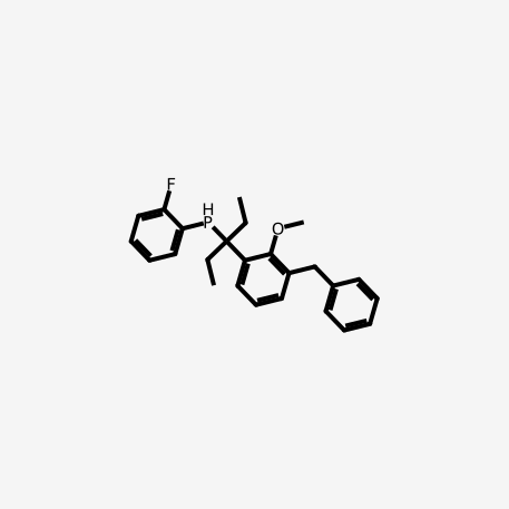 CCC(CC)(Pc1ccccc1F)c1cccc(Cc2ccccc2)c1OC